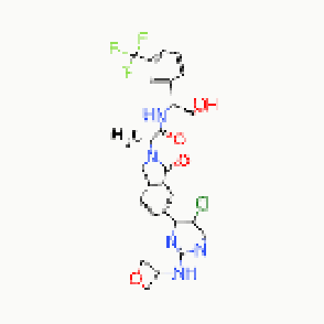 C[C@H](C(=O)N[C@H](CO)c1cccc(C(F)(F)F)c1)N1Cc2ccc(-c3nc(NC4COC4)ncc3Cl)cc2C1=O